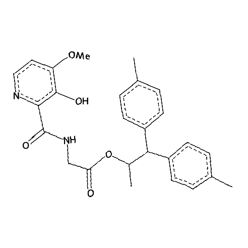 COc1ccnc(C(=O)NCC(=O)OC(C)C(c2ccc(C)cc2)c2ccc(C)cc2)c1O